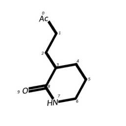 CC(=O)CCC1CCCNC1=O